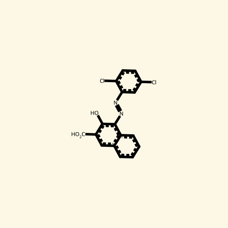 O=C(O)c1cc2ccccc2c(N=Nc2cc(Cl)ccc2Cl)c1O